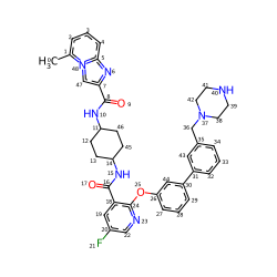 Cc1cccc2nc(C(=O)NC3CCC(NC(=O)c4cc(F)cnc4Oc4cccc(-c5cccc(CN6CCNCC6)c5)c4)CC3)cn12